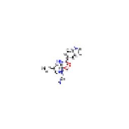 CC(C)C[C@H](NC(=O)c1ccc2[nH]ccc2c1)C(=O)NCC#N